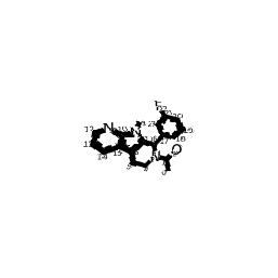 CC(=O)N1CCc2c(n(C)c3ncccc23)C1c1cccc(F)c1